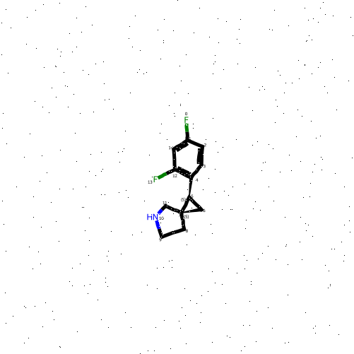 Fc1ccc([C@H]2C[C@]23CCNC3)c(F)c1